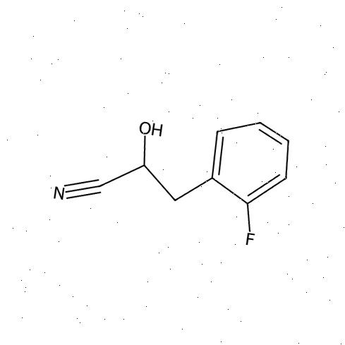 N#CC(O)Cc1ccccc1F